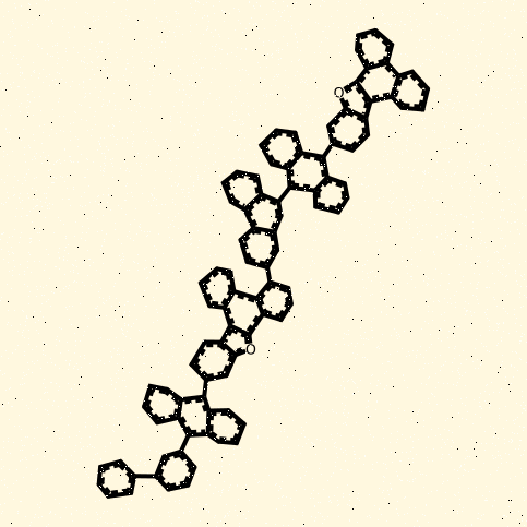 c1ccc(-c2cccc(-c3c4ccccc4c(-c4ccc5c(c4)oc4c6cccc(-c7ccc8c(c7)cc(-c7c9ccccc9c(-c9ccc%10c(c9)oc9c%11ccccc%11c%11ccccc%11c%109)c9ccccc79)c7ccccc78)c6c6ccccc6c54)c4ccccc34)c2)cc1